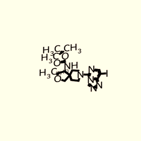 C[C@@H]1OCC2(CCN(c3ncc(I)c4nncn34)CC2)[C@@H]1NC(=O)OC(C)(C)C